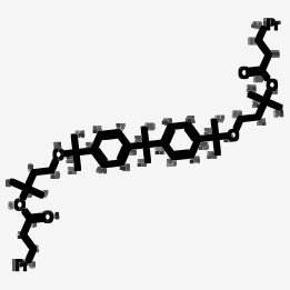 CC(C)CCC(=O)OC(C)(C)CCOC(C)(C)c1ccc(C(C)(C)c2ccc(C(C)(C)OCCC(C)(C)OC(=O)CCC(C)C)cc2)cc1